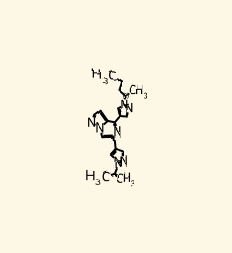 CCC[C@@H](C)n1cc(-c2nc(-c3cnn(C(C)C)c3)cn3nccc23)cn1